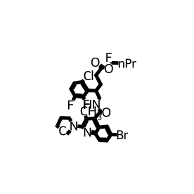 CCCC(F)OC(=O)CCC(CNC(=O)c1c(C)c(N2CCCCC2)nc2ccc(Br)cc12)c1c(Cl)ccc(F)c1F